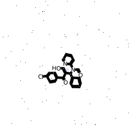 O=CN(c1ccccn1)C(/C(=C/O)C(=O)c1ccc(Cl)cc1)c1ccccc1